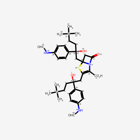 C[Si](C)(C)CC[C@](O)(CC1=C(C(=O)O)N2C(=O)CC2(C[C@@](O)(CC[Si](C)(C)C)c2ccc(NC=O)cc2)S1)c1ccc(NC=O)cc1